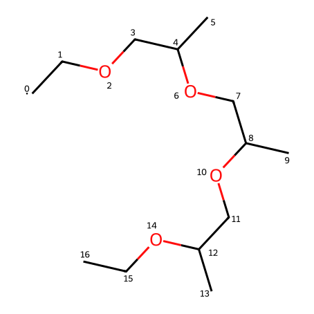 [CH2]COCC(C)OCC(C)OCC(C)OCC